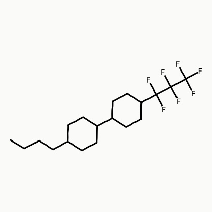 CCCCC1CCC(C2CCC(C(F)(F)C(F)(F)C(F)(F)F)CC2)CC1